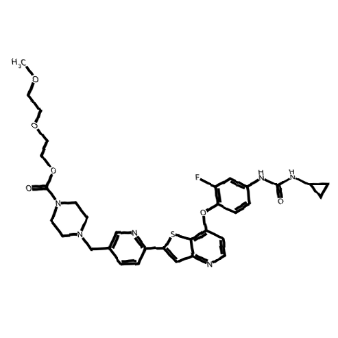 COCCOCCOC(=O)N1CCN(Cc2ccc(-c3cc4nccc(Oc5ccc(NC(=O)NC6CC6)cc5F)c4s3)nc2)CC1